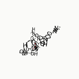 COC(=O)NC1=C2C#C/C=C\C#C[C@H](OC3OC(C)C(C(=O)c4nccc5c4[nH]c4ccc(OCCN=[N+]=[N-])cc45)CC3OC3CC(OC)C(NC(C)C)CO3)C2/C(=C\CS(C)(=S)=S)[C@@H](O)CC1=O